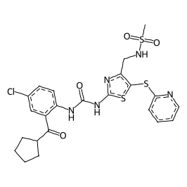 CS(=O)(=O)NCc1nc(NC(=O)Nc2ccc(Cl)cc2C(=O)C2CCCC2)sc1Sc1ccccn1